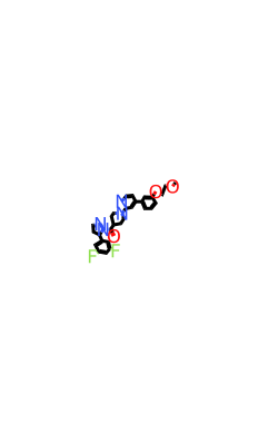 COCCOc1cccc(-c2ccnc(N3CCC(C(=O)N4N=CCC4c4cc(F)cc(F)c4)CC3)c2)c1